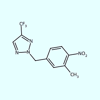 Cc1cc(Cn2ncc(C(F)(F)F)n2)ccc1[N+](=O)[O-]